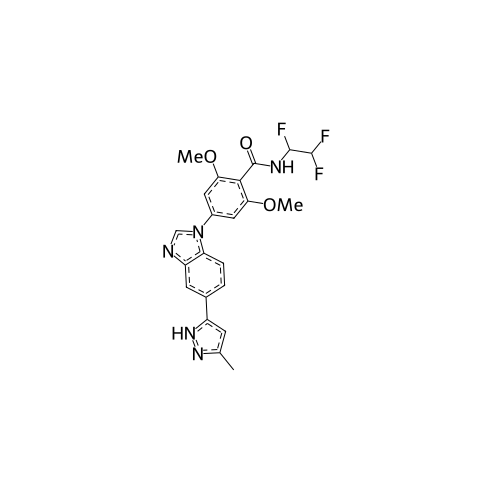 COc1cc(-n2cnc3cc(-c4cc(C)n[nH]4)ccc32)cc(OC)c1C(=O)NC(F)C(F)F